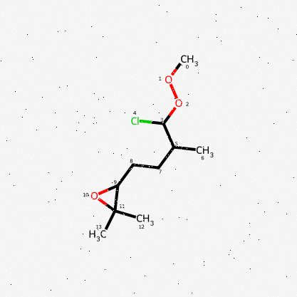 COOC(Cl)C(C)CCC1OC1(C)C